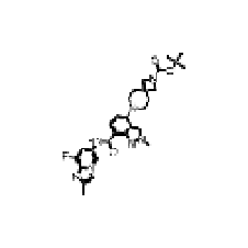 Cc1cn2cc(NC(=O)c3ccc(N4CCC5(CC4)CN(C(=O)OC(C)(C)C)C5)c4cn(C)nc34)cc(F)c2n1